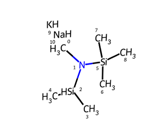 CN([SiH](C)C)[Si](C)(C)C.[KH].[NaH]